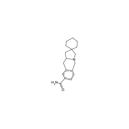 NC(=O)c1ccc2c(c1)CC1CC3(CCCCC3)CN1C2